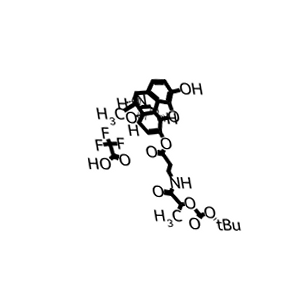 CC(OC(=O)OC(C)(C)C)C(=O)NCCC(=O)OC1=CC[C@@]2(O)[C@H]3Cc4ccc(O)c5c4[C@@]2(CCN3C)[C@H]1O5.O=C(O)C(F)(F)F